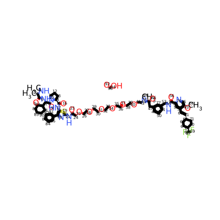 CN[C@@H](C)C(=O)N[C@H](C(=O)N1CCC[C@H]1C(=O)Nc1sc(NC(=O)COCCOCCOCCOCCOCCOCCN(C)C(=O)Cc2cccc(CNC(=O)c3cc(/C=C/[C@H]4CC[C@H](C(F)(F)F)CC4)c(OC)cn3)c2)nc1-c1ccccc1)C1CCCCC1.O=CO